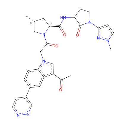 CC(=O)c1cn(CC(=O)N2C[C@H](C)C[C@H]2C(=O)NC2CCN(c3ccn(C)n3)C2=O)c2ccc(-c3ccnnc3)cc12